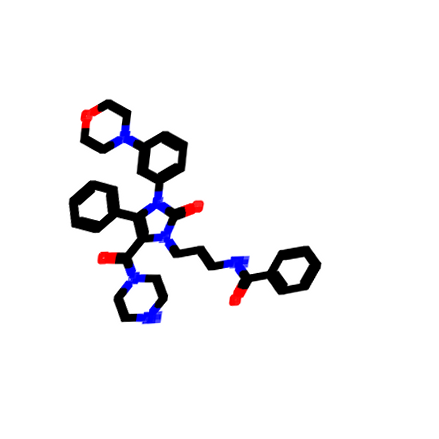 O=C(NCCCn1c(C(=O)N2CCNCC2)c(-c2ccccc2)n(-c2cccc(N3CCOCC3)c2)c1=O)c1ccccc1